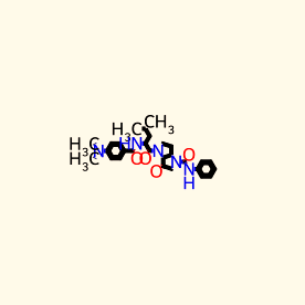 CC(C)CC(NC(=O)c1ccc(N(C)C)cc1)C(=O)N1CCC2C1C(=O)CN2C(=O)Nc1ccccc1